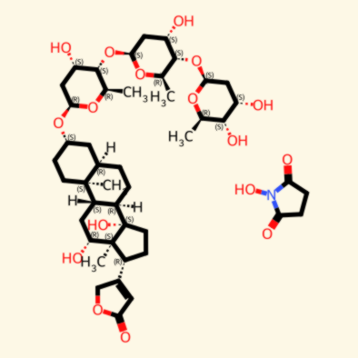 C[C@H]1O[C@@H](O[C@H]2[C@@H](O)C[C@H](O[C@H]3[C@@H](O)C[C@H](O[C@H]4CC[C@@]5(C)[C@H](CC[C@@H]6[C@@H]5C[C@@H](O)[C@]5(C)[C@@H](C7=CC(=O)OC7)CC[C@]65O)C4)O[C@@H]3C)O[C@@H]2C)C[C@H](O)[C@@H]1O.O=C1CCC(=O)N1O